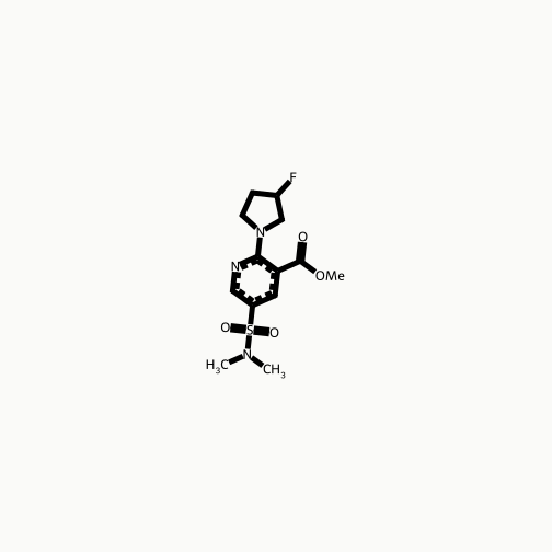 COC(=O)c1cc(S(=O)(=O)N(C)C)cnc1N1CCC(F)C1